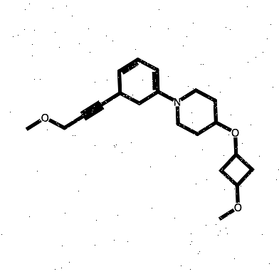 COCC#CC1C=CC=C(N2CCC(OC3CC(OC)C3)CC2)C1